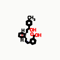 Cc1ccc(C(O)C=C[C@@H]2[C@@H](C/C=C\c3cccc(C(=O)O)c3)[C@H]3CC[C@@H]2O3)cc1